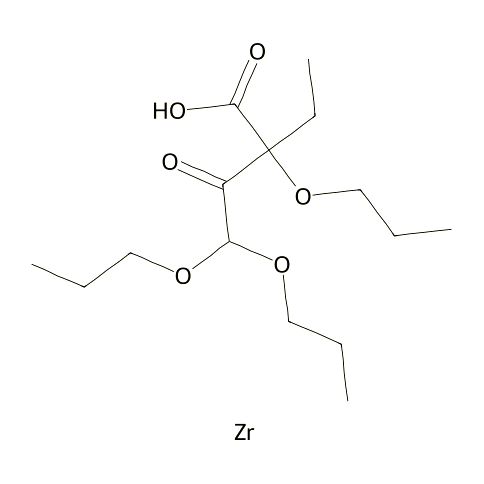 CCCOC(OCCC)C(=O)C(CC)(OCCC)C(=O)O.[Zr]